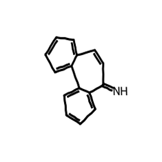 N=c1ccc2ccccc2c2ccccc12